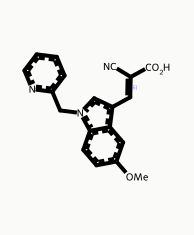 COc1ccc2c(c1)c(/C=C(\C#N)C(=O)O)cn2Cc1ccccn1